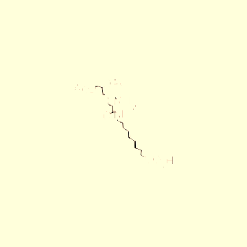 CC(=O)OC[C@H](CSC[C@H](N)C(=O)NCCCCCCCCCC(=O)O)OC(C)=O